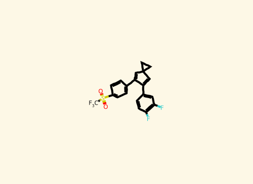 O=S(=O)(c1ccc(C2=CC3(C=C2c2ccc(F)c(F)c2)CC3)cc1)C(F)(F)F